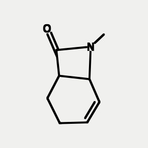 CN1C(=O)C2CCC=CC21